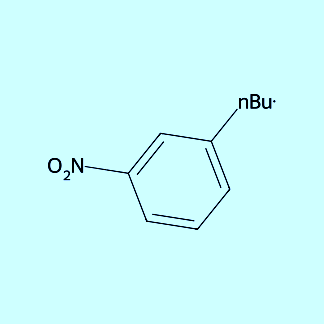 CCC[CH]c1cccc([N+](=O)[O-])c1